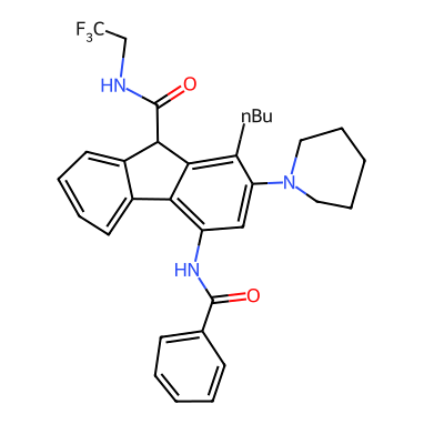 CCCCc1c(N2CCCCC2)cc(NC(=O)c2ccccc2)c2c1C(C(=O)NCC(F)(F)F)c1ccccc1-2